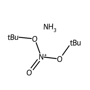 CC(C)(C)O[N+](=O)OC(C)(C)C.N